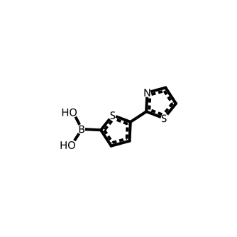 OB(O)c1ccc(-c2nccs2)s1